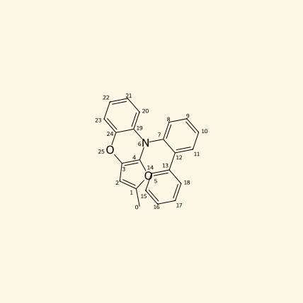 Cc1cc2c(o1)N(c1ccccc1-c1ccccc1)c1ccccc1O2